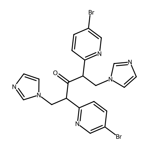 O=C(C(Cn1ccnc1)c1ccc(Br)cn1)C(Cn1ccnc1)c1ccc(Br)cn1